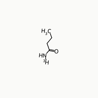 [3H]NC(=O)CCC